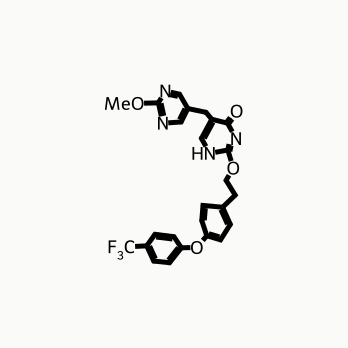 COc1ncc(Cc2c[nH]c(OCCc3ccc(Oc4ccc(C(F)(F)F)cc4)cc3)nc2=O)cn1